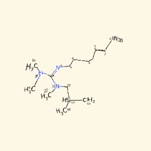 CCCCCCCCCCCCCCN=C(N(C)C)N(C)C[SiH](C)C